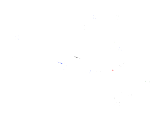 CC1(C)CCC2(CC1)N[C@@H](C(=O)N[C@@H]1CC[C@@H](C(=O)N3CC(O)C3)OC1)[C@H](c1ccnc(Cl)c1F)[C@]21C(=O)Nc2cc(Cl)ccc21